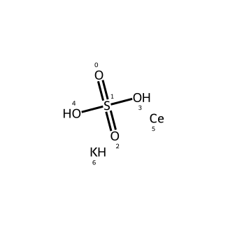 O=S(=O)(O)O.[Ce].[KH]